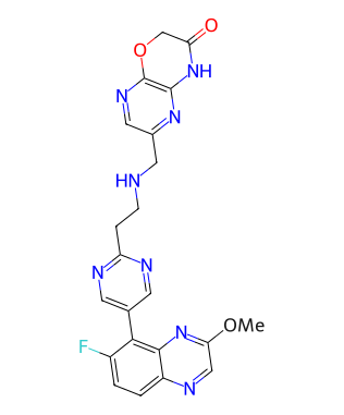 COc1cnc2ccc(F)c(-c3cnc(CCNCc4cnc5c(n4)NC(=O)CO5)nc3)c2n1